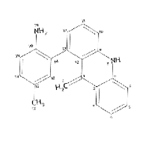 C=C1c2ccccc2Nc2cccc(-c3cc(C)ccc3N)c21